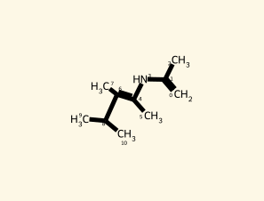 C=C(C)N/C(C)=C(\C)C(C)C